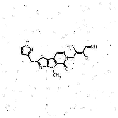 Cn1c2nc(Cc3cc[nH]n3)sc2c2cnn(C/C(N)=C(\Cl)C=N)c(=O)c21